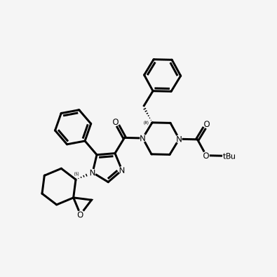 CC(C)(C)OC(=O)N1CCN(C(=O)c2ncn([C@H]3CCCCC34CO4)c2-c2ccccc2)[C@H](Cc2ccccc2)C1